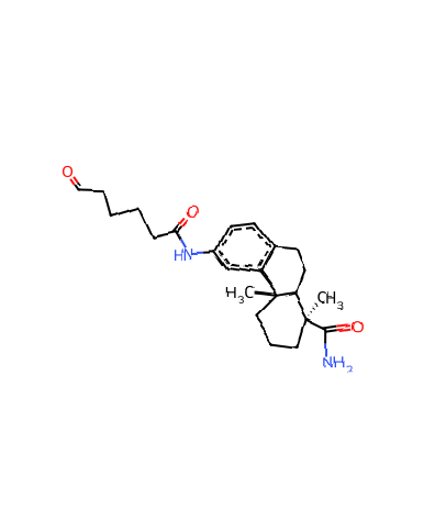 CC12CCC[C@](C)(C(N)=O)C1CCc1ccc(NC(=O)CCCCC=O)cc12